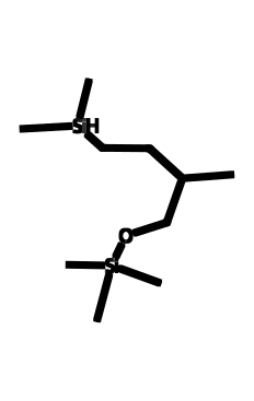 CC(CC[SiH](C)C)CO[Si](C)(C)C